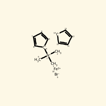 C[N+](C)(C)[c-]1cccc1.[Br-].[Fe+2].c1cc[cH-]c1